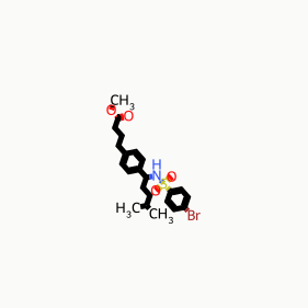 COC(=O)CCCc1ccc(C(CCC(C)C)NS(=O)(=O)c2ccc(Br)cc2)cc1